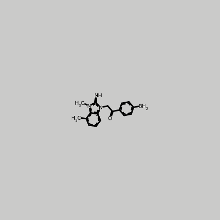 Bc1ccc(C(=O)Cn2c(=N)n(C)c3c(C)cccc32)cc1